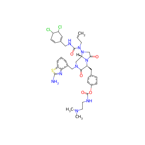 C=CCN(C(=O)NCC1=CC(Cl)C(Cl)C=C1)N1CC(=O)N2[C@@H](Cc3ccc(OC(=O)NCCN(C)C)cc3)C(=O)N(Cc3cccc4sc(N)nc34)C[C@@H]21